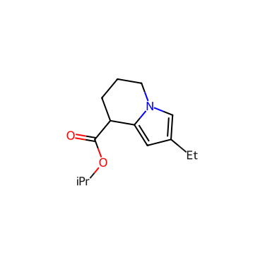 CCc1cc2n(c1)CCCC2C(=O)OC(C)C